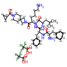 CC(C)CC(NC(=O)C(Cc1ccccc1)NC(=O)C(N)Cc1ccccc1)C(=O)NC(CCCCN)C(=O)N1CC2(CCN(C(=O)C3CC3)CC2)C1.O=C(O)C(F)(F)F.O=C(O)C(F)(F)F